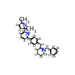 CC1=NC(C)(c2cccc(-c3ccc(CC4CCCCN4Cc4ccccc4)cc3)n2)C=C1